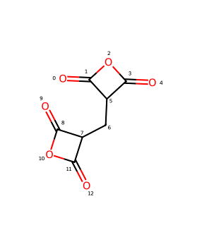 O=C1OC(=O)C1CC1C(=O)OC1=O